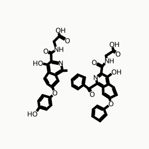 Cc1nc(C(=O)NCC(=O)O)c(O)c2ccc(Oc3ccc(O)cc3)cc12.O=C(O)CNC(=O)c1nc(C(=O)c2ccccc2)c2cc(Oc3ccccc3)ccc2c1O